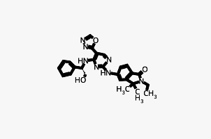 CCN1C(=O)c2ccc(Nc3ncc(-c4nnco4)c(N[C@H](CO)c4ccccc4)n3)cc2C1(C)C